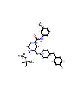 CC(C)(C)CC(C)(C)C(C)(C)C.N#Cc1cccc(NC(=O)N2CCN(C(=O)O)C(CN3CCC(Cc4ccc(F)cc4)CC3)C2)c1